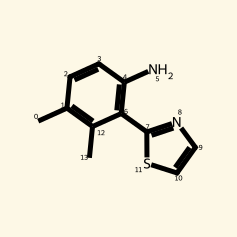 Cc1ccc(N)c(-c2nccs2)c1C